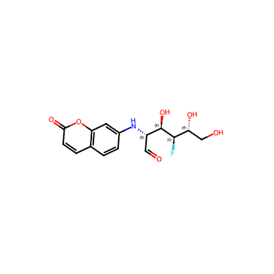 O=C[C@H](Nc1ccc2ccc(=O)oc2c1)[C@@H](O)[C@H](F)[C@H](O)CO